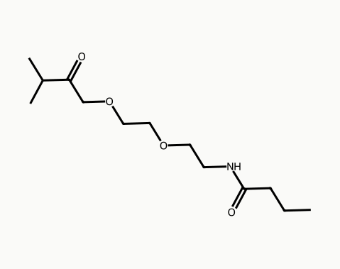 CCCC(=O)NCCOCCOCC(=O)C(C)C